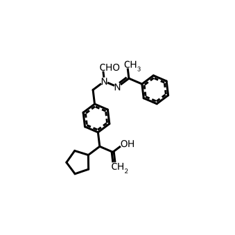 C=C(O)C(c1ccc(CN(C=O)/N=C(\C)c2ccccc2)cc1)C1CCCC1